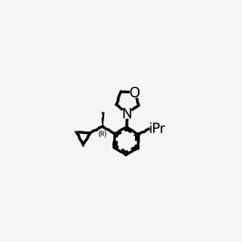 CC(C)c1cccc([C@H](C)C2CC2)c1N1CCOC1